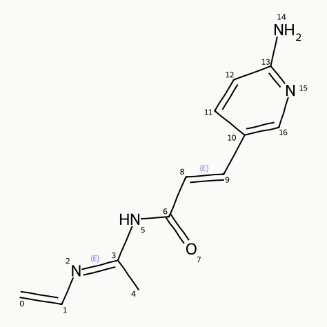 C=C/N=C(\C)NC(=O)/C=C/c1ccc(N)nc1